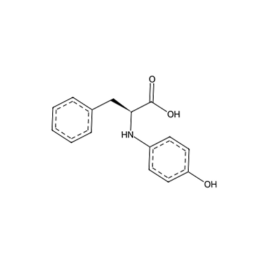 O=C(O)[C@H](Cc1ccccc1)Nc1ccc(O)cc1